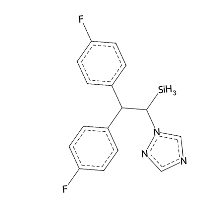 Fc1ccc(C(c2ccc(F)cc2)C([SiH3])n2cncn2)cc1